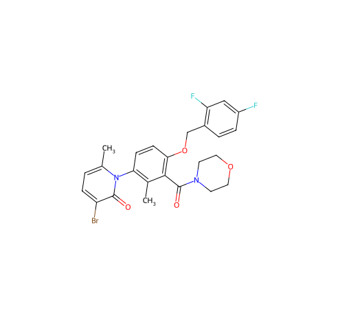 Cc1c(-n2c(C)ccc(Br)c2=O)ccc(OCc2ccc(F)cc2F)c1C(=O)N1CCOCC1